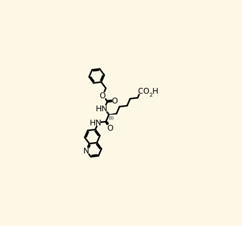 O=C(O)CCCCC[C@H](NC(=O)OCc1ccccc1)C(=O)Nc1ccc2ncccc2c1